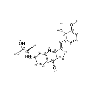 COc1cccc(C=C2CCn3c2nc2cc(NC(=O)C(=O)O)ccc2c3=O)c1OC